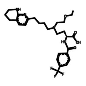 CCOCCN(CCCCc1ccc2c(n1)NCCC2)CC[C@H](NC(=O)c1ccc(C(F)(F)F)cc1)C(=O)O